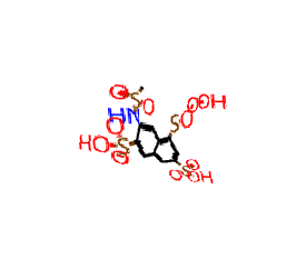 CS(=O)(=O)Nc1cc2c(SOOO)cc(S(=O)(=O)O)cc2cc1S(=O)(=O)O